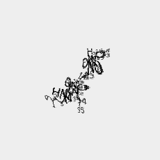 CCCCc1nc2c([nH]1)c(=O)n(CCCCn1c(=O)[nH]n(-c3ccccc3)c1=O)c(=O)n2CCCC